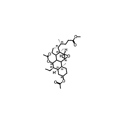 CC[C@H]1[C@@H](OC(C)=O)C2C3CC[C@H]([C@H](C)CCC(=O)OC)[C@@]3(C)[C@@H]3O[C@@H]3C2[C@@]2(C)CC[C@@H](OC(C)=O)C[C@@H]12